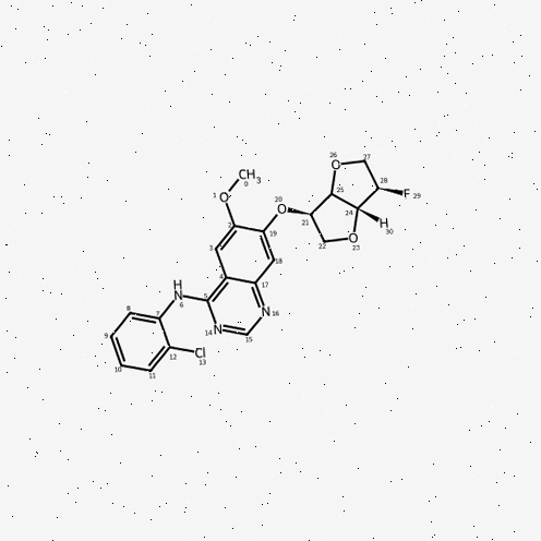 COc1cc2c(Nc3ccccc3Cl)ncnc2cc1O[C@@H]1CO[C@@H]2C1OC[C@H]2F